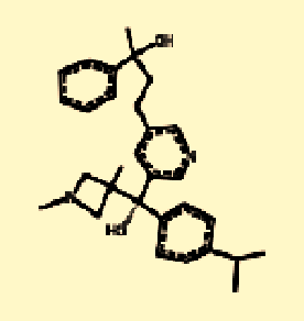 CC(C)c1ccc([C@](O)(c2cncc(CCC(C)(O)c3ccccc3)c2)C2(C)CN(C)C2)cc1